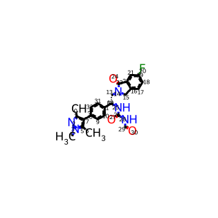 Cc1nn(C)c(C)c1-c1ccc([C@H](CN2Cc3ccc(F)cc3C2=O)NC(=O)NC=O)cc1